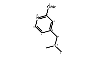 COc1cc(CN(C)C)ccn1